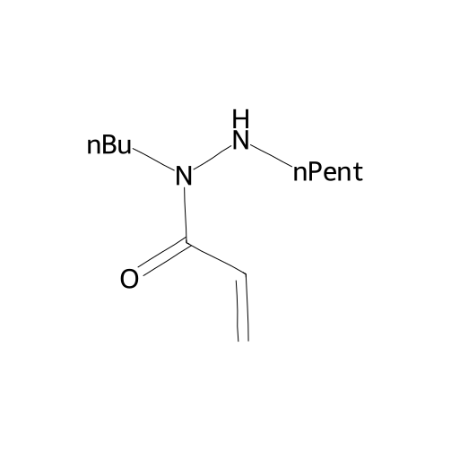 C=CC(=O)N(CCCC)NCCCCC